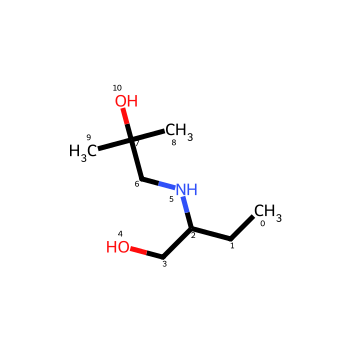 CCC(CO)NCC(C)(C)O